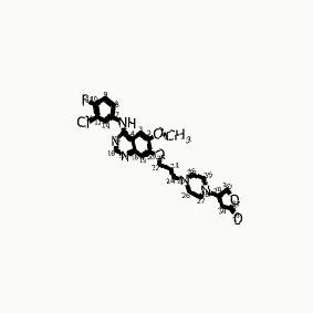 COc1cc2c(Nc3ccc(F)c(Cl)c3)ncnc2cc1OCCCN1CCN(C2COC(=O)C2)CC1